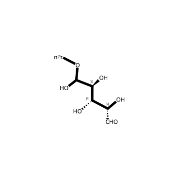 CCCOC(O)[C@@H](O)[C@@H](O)[C@H](O)C=O